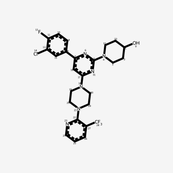 OC1CCN(c2nc(-c3ccc(F)c(Cl)c3)cc(N3CCN(c4ncccc4C(F)(F)F)CC3)n2)CC1